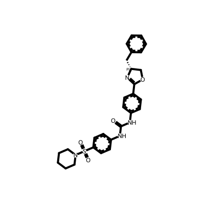 O=C(Nc1ccc(C2=N[C@H](Cc3ccccc3)CO2)cc1)Nc1ccc(S(=O)(=O)N2CCCCC2)cc1